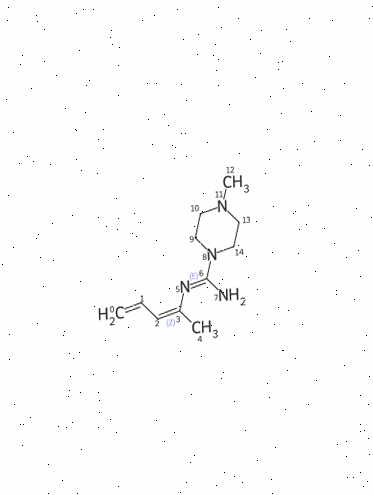 C=C/C=C(C)\N=C(/N)N1CCN(C)CC1